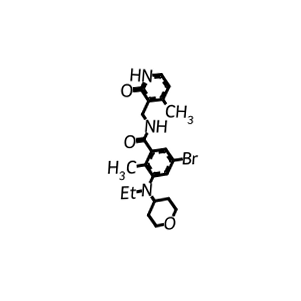 CCN(c1cc(Br)cc(C(=O)NCc2c(C)cc[nH]c2=O)c1C)C1CCOCC1